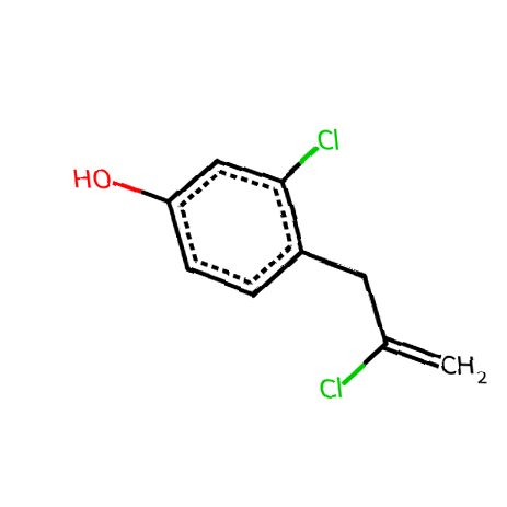 C=C(Cl)Cc1ccc(O)cc1Cl